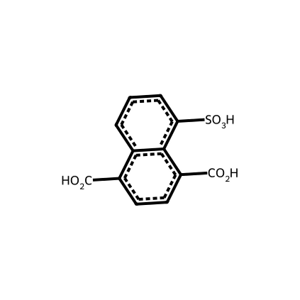 O=C(O)c1ccc(C(=O)O)c2c(S(=O)(=O)O)cccc12